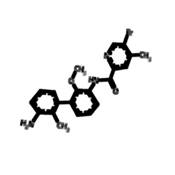 COc1c(NC(=O)c2cc(C)c(Br)cn2)cccc1-c1cccc(N)c1C